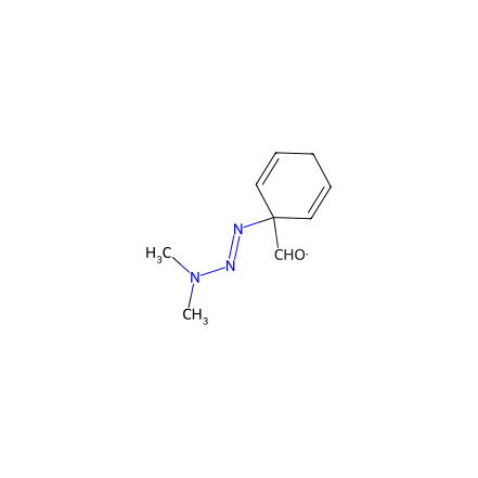 CN(C)/N=N/C1([C]=O)C=CCC=C1